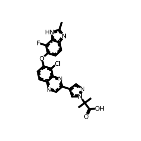 Cc1nc2ccc(Oc3ccc4ncc(-c5cnn(C(C)(C)C(=O)O)c5)nc4c3Cl)c(F)c2[nH]1